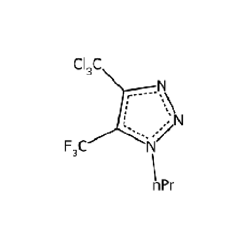 CCCn1nnc(C(Cl)(Cl)Cl)c1C(F)(F)F